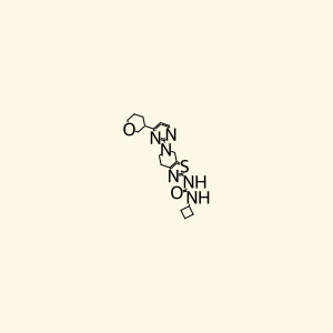 O=C(Nc1nc2c(s1)CN(c1nccc(C3CCCOC3)n1)CC2)NC1CCC1